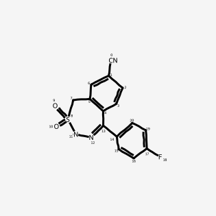 N#Cc1ccc2c(c1)CS(=O)(=O)[N]N=C2c1ccc(F)cc1